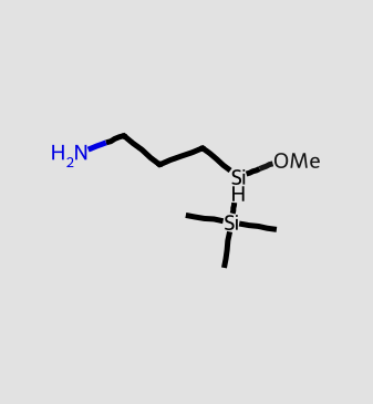 CO[SiH](CCCN)[Si](C)(C)C